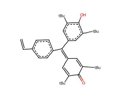 C=Cc1ccc(C(=C2C=C(C(C)(C)C)C(=O)C(C(C)(C)C)=C2)c2cc(C(C)(C)C)c(O)c(C(C)(C)C)c2)cc1